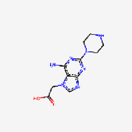 Nc1nc(N2CCNCC2)nc2ncn(CC(=O)O)c12